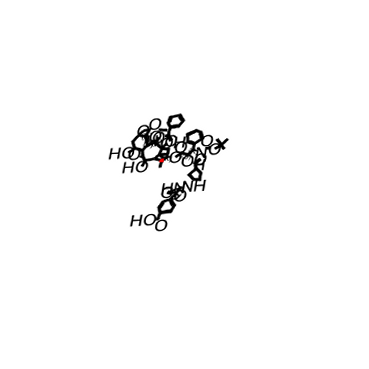 CC(=O)O[C@]12COC1CC(O)C13OC1C(O)C1C(C)[C@H](OC(=O)[C@@H](OC(=O)C4CCC(NNS(=O)(=O)c5ccc(C(=O)O)cc5)C4)[C@H](NC(=O)OC(C)(C)C)c4ccccc4)CC(O)([C@H](OC(=O)c4ccccc4)[C@H]32)C1(C)C